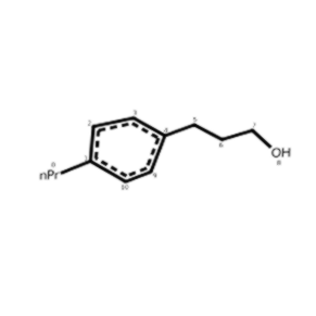 CCCc1ccc(CCCO)cc1